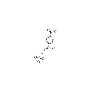 O=[N+]([O-])c1ccc(OCCCS(=O)(=O)[O-])cc1.[K+]